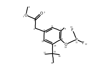 COC(=O)Cc1cc(C)c(OP(F)F)c(C(C)(C)C)c1